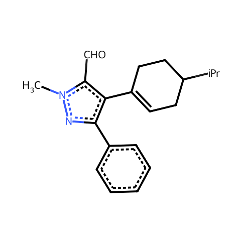 CC(C)C1CC=C(c2c(-c3ccccc3)nn(C)c2C=O)CC1